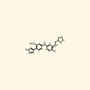 COc1cc(Nc2ncc(Cl)c(NC[C@H]3CCCO3)n2)ccc1-c1cnn(C)c1